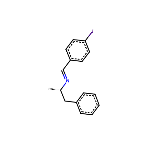 C[C@@H](Cc1ccccc1)/N=C/c1ccc(I)cc1